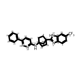 FC(F)(F)c1ccc2nc(C34CCC(Nc5ccc(-c6ccccc6)nn5)(CC3)C4)[nH]c2c1